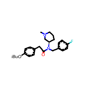 CC(C)COc1ccc(CC(=O)N(Cc2ccc(F)cc2)[C@@H]2CCCN(C)C2)cc1